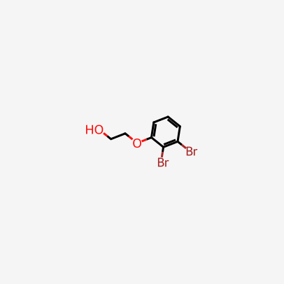 OCCOc1cccc(Br)c1Br